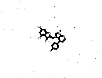 Cn1cc(C=C2Oc3cc(O)cc(O)c3C2=O)c2c(-c3ccc(Cl)cc3)ccnc21